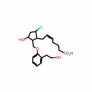 O=C(O)CCC/C=C\CC1C(Cl)CC(O)C1COc1ccccc1CCO